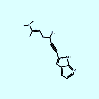 CCC(C#Cc1cc2cccnc2[nH]1)C/C=C(\C)N(C)C